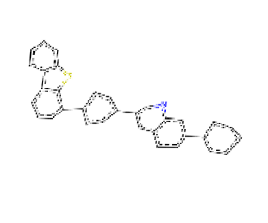 c1ccc(-c2ccc3cc(-c4ccc(-c5cccc6c5sc5ccccc56)cc4)cnc3c2)cc1